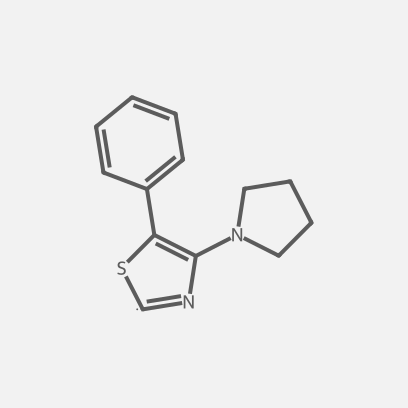 [c]1nc(N2CCCC2)c(-c2ccccc2)s1